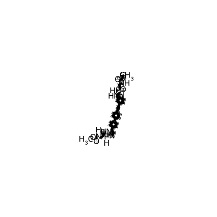 COC(=O)NCC(=O)Pc1ncc(-c2ccc(-c3ccc(C#Cc4ccc5nc(PC(=O)CNC(=O)OC)[nH]c5c4)cc3)cc2)[nH]1